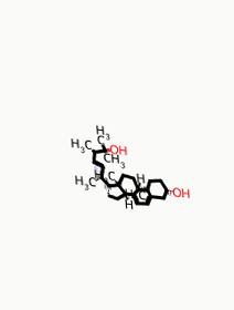 CC(/C=C/[C@@H](C)[C@H]1CC[C@H]2C3=CC=C4C[C@@H](O)CC[C@]4(C)[C@H]3CC[C@]12C)C(C)(C)O